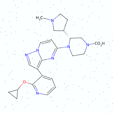 CN1CCC([C@@H]2CN(C(=O)O)CCN2c2ccn3ncc(-c4cccnc4OC4CC4)c3n2)C1